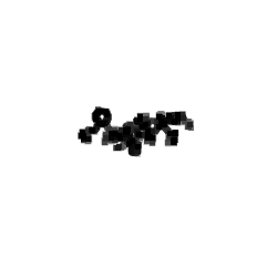 CCN(C(=O)NCCc1ccccc1CCN(C)C)C(=O)[C@@H]1C[C@@H]2Cc3c(sc(N)c3C#N)C[C@H]2N(C)C1